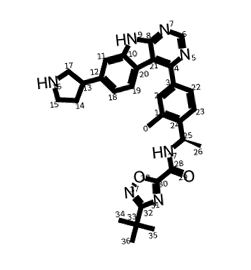 Cc1cc(-c2ncnc3[nH]c4cc(C5CCNC5)ccc4c23)ccc1[C@@H](C)NC(=O)c1nc(C(C)(C)C)no1